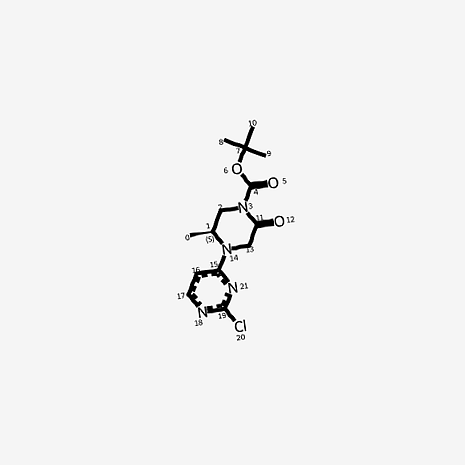 C[C@H]1CN(C(=O)OC(C)(C)C)C(=O)CN1c1ccnc(Cl)n1